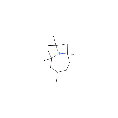 CC1CCC(C)(C)N(C(C)(C)C)C(C)(C)C1